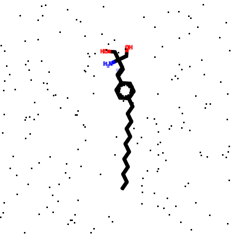 CCCCCCCCCCCCc1ccc(/C=C/C(N)(CO)CO)cc1